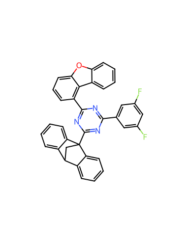 Fc1cc(F)cc(-c2nc(-c3cccc4oc5ccccc5c34)nc(C34CC(c5ccccc53)c3ccccc34)n2)c1